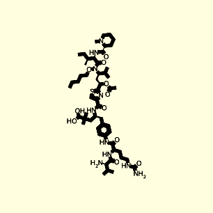 CCCCCON(C(=O)[C@@H](NC(=O)[C@H]1CCCCN1C)[C@@H](C)CC)[C@H](C[C@@H](OC(C)=O)c1nc(C(=O)N[C@@H](Cc2ccc(NC(=O)C(CCCNC(N)=O)NC(=O)[C@@H](N)C(C)C)cc2)CC(C)(C)C(O)O)cs1)C(C)C